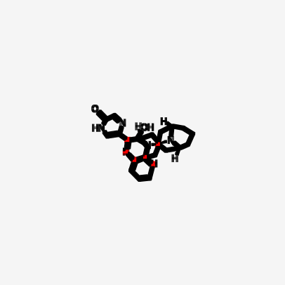 O=c1cnc(C2=Nc3ccccc3N([C@H]3C[C@H]4CCC[C@@H](C3)N4[C@H]3C[C@@H]4CCC[C@@H](C4)C3)C2O)c[nH]1